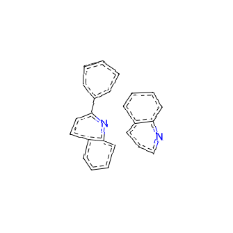 c1ccc(-c2ccc3ccccc3n2)cc1.c1ccc2ncccc2c1